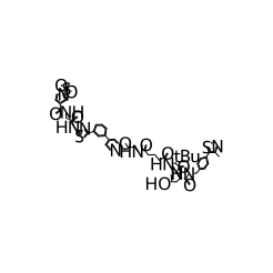 Cc1ncsc1-c1ccc(CNC(=O)[C@@H]2C[C@@H](O)CN2C(=O)[C@@H](NC(=O)CCCC(=O)NCCOc2cc(-c3cccc(-c4csc(NC(=O)CNC(=O)c5ccn(S(C)(=O)=O)c5)n4)c3)ccn2)C(C)(C)C)cc1